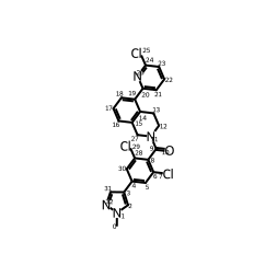 Cn1cc(-c2cc(Cl)c(C(=O)N3CCc4c(cccc4-c4cccc(Cl)n4)C3)c(Cl)c2)cn1